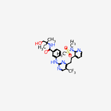 CN(c1ncccc1CCc1nc(Nc2cccc(C(=O)NC(C)(C)CO)c2)ncc1C(F)(F)F)S(C)(=O)=O